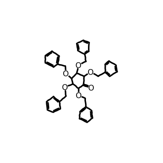 O=C1C(OCc2ccccc2)C(OCc2ccccc2)C(OCc2ccccc2)C(OCc2ccccc2)C1OCc1ccccc1